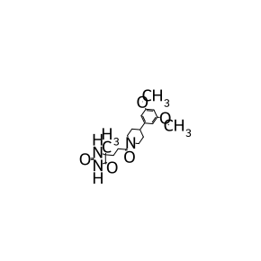 COc1cc(OC)cc(C2CCN(C(=O)CCC3(C)NC(=O)NC3=O)CC2)c1